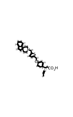 CC#C[C@@H](CC(=O)O)c1ccc(OCc2ccc(CN3CCC4(C=Cc5ccccc54)CC3)s2)cc1